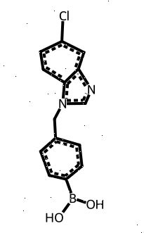 OB(O)c1ccc(Cn2cnc3cc(Cl)ccc32)cc1